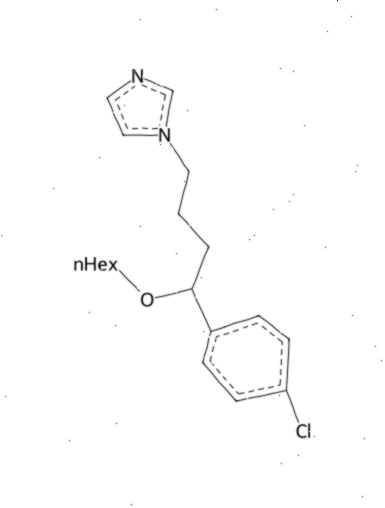 CCCCCCOC(CCCn1ccnc1)c1ccc(Cl)cc1